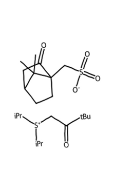 CC(C)[S+](CC(=O)C(C)(C)C)C(C)C.CC1(C)C2CCC1(CS(=O)(=O)[O-])C(=O)C2